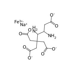 NC(CC(=O)[O-])C(N)C(CC(=O)[O-])(CC(=O)[O-])CC(=O)[O-].[Fe+3].[Na+]